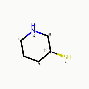 S[C@H]1CCCNC1